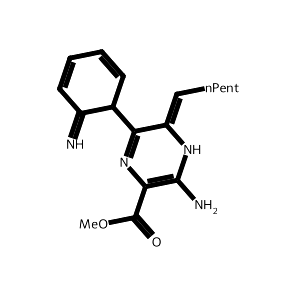 CCCCCC=C1NC(N)=C(C(=O)OC)N=C1C1C=CC=CC1=N